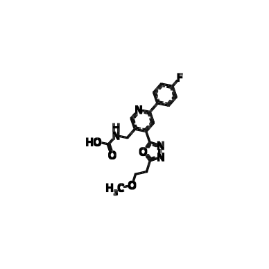 COCCc1nnc(-c2cc(-c3ccc(F)cc3)ncc2CNC(=O)O)o1